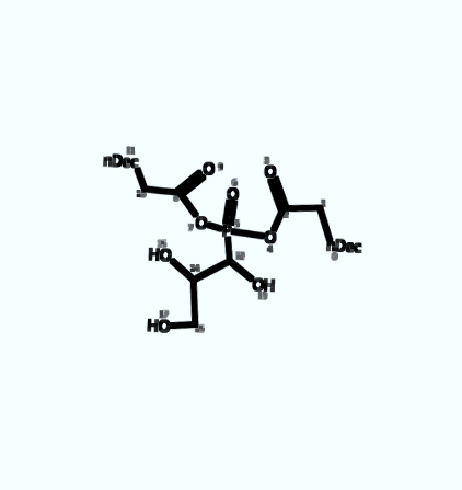 CCCCCCCCCCCC(=O)OP(=O)(OC(=O)CCCCCCCCCCC)C(O)C(O)CO